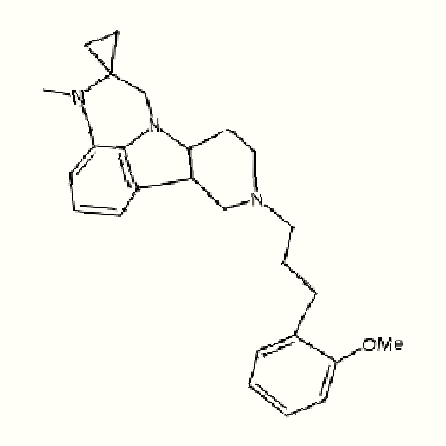 COc1ccccc1CCCN1CCC2C(C1)c1cccc3c1N2CC1(CC1)N3C